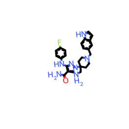 NCC1(n2cc(C(N)=O)c(Nc3ccc(F)cc3)n2)CCN(Cc2ccc3[nH]ccc3c2)CC1